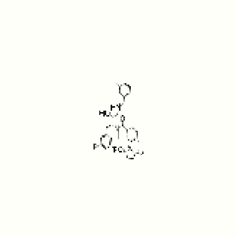 CCc1cccc(CNC[C@H](O)[C@H](Cc2cc(F)cc(F)c2)NC(=O)c2ccc(C)c(N3C(=O)CCC3=O)c2)c1